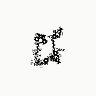 COc1cc2c(cc1OCCCCCOc1cc3c(cc1OC)C(=O)N1CC4(CC4)C[C@H]1[C@H](O)N3C(=O)OCc1ccc(NC(=O)[C@H](C)NC(=O)[C@@H](NC(=O)CNC(=O)CNC(=O)CCC(=O)N3Cc4ccccc4-c4nnn(C(C)C)c4-c4ccccc43)C(C)C)cc1)N=C[C@@H]1CC3(CC3)CN1C2=O